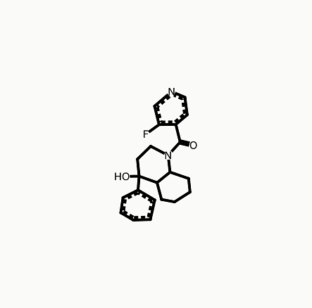 O=C(c1ccncc1F)N1CCC(O)(c2ccccc2)C2CCCCC21